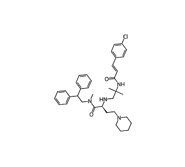 CN(CC(c1ccccc1)c1ccccc1)C(=O)[C@H](CCN1CCCCC1)NCC(C)(C)NC(=O)/C=C/c1ccc(Cl)cc1